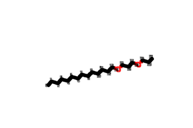 CCCCCCCCCCCCCCOC[CH]COCCC